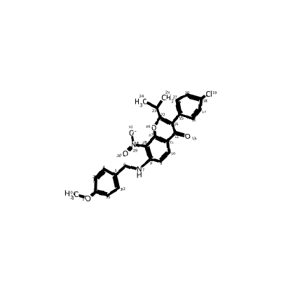 COc1ccc(CNc2ccc3c(=O)c(-c4ccc(Cl)cc4)c(C(C)C)oc3c2[N+](=O)[O-])cc1